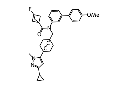 COc1ccc(-c2cccc(N(CC34CCC(c5cc(C6CC6)nn5C)(CC3)CC4)C(=O)C34CC(F)(C3)C4)c2)cc1